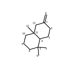 C=C1CCC2C(C)(C)CCCC2(C)C1